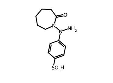 NN(c1ccc(S(=O)(=O)O)cc1)N1CCCCCC1=O